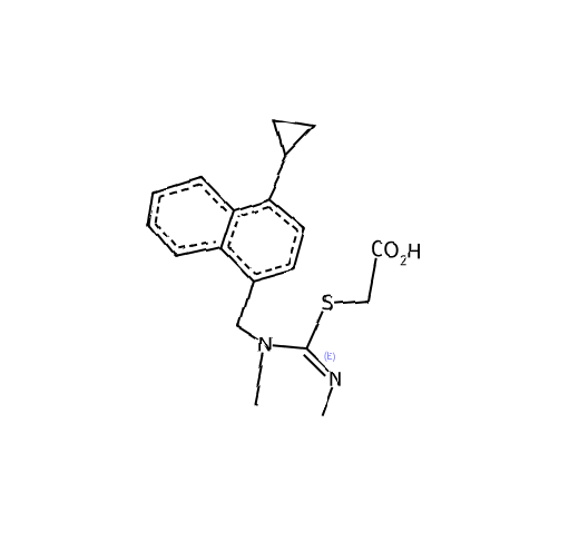 C/N=C(/SCC(=O)O)N(C)Cc1ccc(C2CC2)c2ccccc12